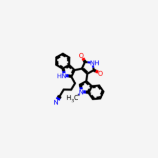 Cn1cc(C2=C(c3c(CCCC#N)[nH]c4ccccc34)C(=O)NC2=O)c2ccccc21